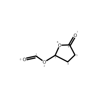 O=[C]OC1CCC(=O)O1